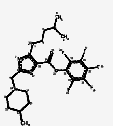 CC(C)CCNc1nc(CN2CCC(C)CC2)sc1C(=O)Oc1c(F)c(F)c(F)c(F)c1F